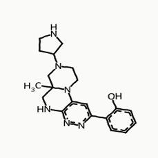 CC12CNc3nnc(-c4ccccc4O)cc3N1CCN(C1CCNC1)C2